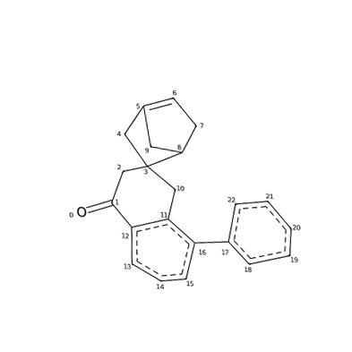 O=C1CC2(CC3=CCC2C3)Cc2c1cccc2-c1ccccc1